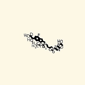 CC(C)(C)OC(=O)N(CCC1CN(c2cnc3c(n2)NC(=O)CO3)C(=O)O1)CC1Cc2cc(C(O)C(=O)O)cc(F)c2C1